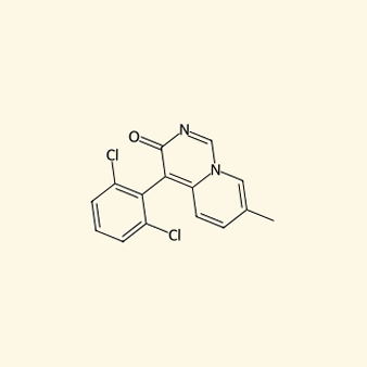 Cc1ccc2c(-c3c(Cl)cccc3Cl)c(=O)ncn2c1